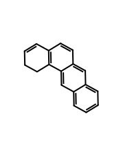 C1=Cc2ccc3cc4ccccc4cc3c2CC1